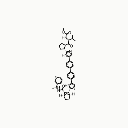 COC(=O)N[C@H](C(=O)N1CCC[C@H]1c1ncc(-c2ccc(-c3ccc(-c4cnc([C@@H]5[C@H]6CC[C@H](C6)[C@H]5C(=O)N[C@@H](C)c5cccnc5)[nH]4)cc3)cc2)[nH]1)C(C)C